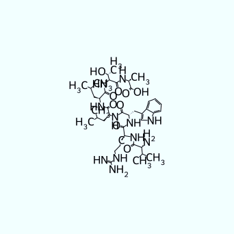 CC(C)C[C@H](NC(=O)[C@H](Cc1c[nH]c2ccccc12)NC(=O)[C@H](CCCNC(=N)N)NC(=O)[C@@H](N)C(C)C)C(=O)N[C@@H](CC(C)C)C(=O)N[C@H](C(=O)N[C@@H](C)C(=O)O)[C@@H](C)O